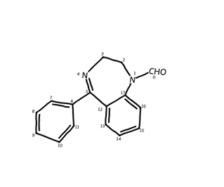 O=CN1CCN=C(c2ccccc2)c2ccccc21